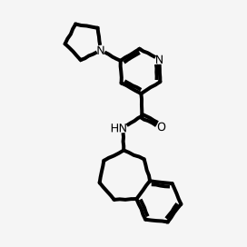 O=C(NC1CCCc2ccccc2C1)c1cncc(N2CCCC2)c1